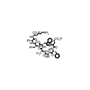 CC[C@H](C)[C@H](NC(=O)[C@@H](Cc1ccccc1)NC(=O)[C@@H](N)CCC(=O)O)C(=O)N[C@@H](C)C(=O)N[C@@H](Cc1c[nH]c2ccccc12)C(=O)N[C@@H](CC(C)C)C(=O)N[C@H](C(=O)N[C@@H](CCCCN)C(=O)O)C(C)C